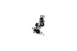 CC(C)CC(NC(=O)[C@H]1CCCN1C(=O)[C@H]1CCCN(S(=O)(=O)N2CC(C#N)C2)C1)c1ccc(C(F)(F)F)cc1